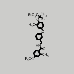 CCOC(=O)C(C)(CC)Oc1ccc(Oc2cccc(CNC(=O)c3ccc(OC(F)(F)F)cc3C)c2)cc1C